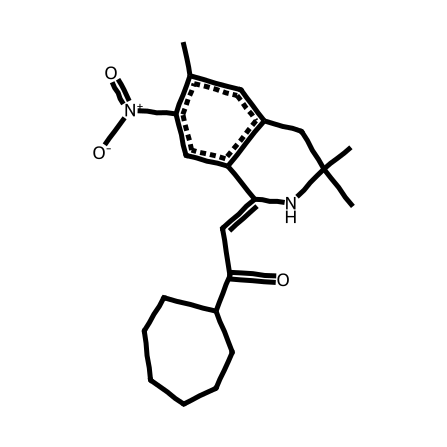 Cc1cc2c(cc1[N+](=O)[O-])C(=CC(=O)C1CCCCCC1)NC(C)(C)C2